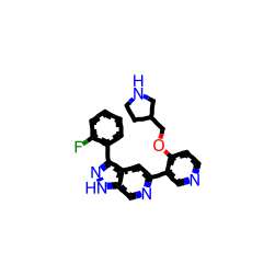 Fc1ccccc1-c1n[nH]c2cnc(-c3cnccc3OCC3CCNC3)cc12